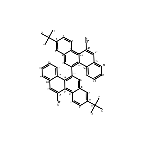 CC(C)(C)c1ccc2c(c1)cc(-c1cc3cc(C(C)(C)C)ccc3c3c(Br)cc4ccccc4c13)c1c3ccccc3cc(Br)c21